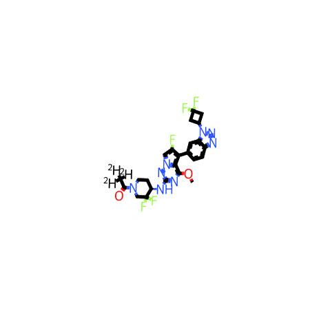 [2H]C([2H])([2H])C(=O)N1CC[C@@H](Nc2nc(OC)c3c(-c4ccc5nnn(C6CC(F)(F)C6)c5c4)c(F)cn3n2)C(F)(F)C1